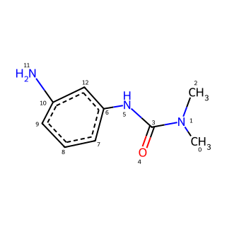 CN(C)C(=O)Nc1cccc(N)c1